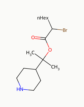 CCCCCCC(Br)C(=O)OC(C)(C)C1CCNCC1